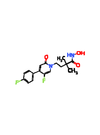 CC(C)(CCn1cc(F)c(-c2ccc(F)cc2)cc1=O)C(=O)NO